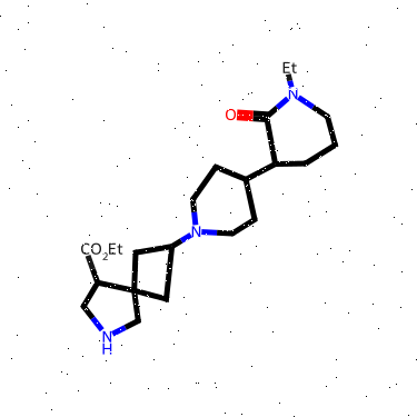 CCOC(=O)C1CNCC12CC(N1CCC(C3CCCN(CC)C3=O)CC1)C2